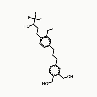 CCc1cc(CCCc2ccc(CO)c(CO)c2)ccc1CCC(O)C(F)(F)F